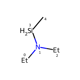 CCN(CC)[SiH2]C